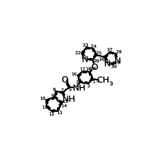 Cc1cc(NC(=O)c2cc3ccccc3[nH]2)ccc1Oc1ncccc1-c1ccncn1